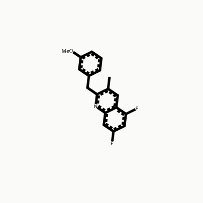 COc1cccc(Cc2nc3cc(F)cc(F)c3cc2C)c1